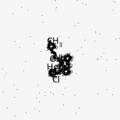 Cc1ccc(C=CC(=O)NCC(=O)N(C)N2c3c(OCc4c(Cl)cccc4Cl)cccc3SC2c2ccccc2)cc1